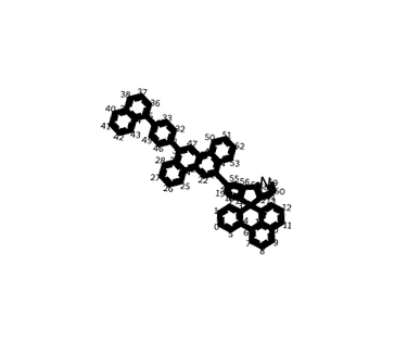 c1ccc2c(c1)-c1cccc3cccc(c13)C21c2ccc(-c3cc4c5ccccc5c(-c5ccc(-c6cccc7ccccc67)cc5)cc4c4ccccc34)cc2-c2ncccc21